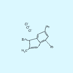 CC1=Cc2c(C(C)C)cc(C(C)C)cc2[CH]1[Zr+3].[Cl-].[Cl-].[Cl-]